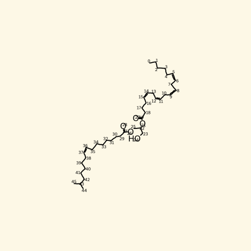 CCCCC/C=C\C/C=C\C/C=C\C/C=C\CCCC(=O)OC(CO)COC(=O)CCCCCCC/C=C\CCCCCC(C)C